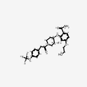 NC(=O)c1ccc(OCCO)cc1O[C@@H]1CCN(C(=O)Cc2ccc(OC(F)(F)F)cc2)C[C@H]1F